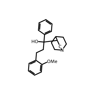 COc1ccccc1CCC(O)(c1ccccc1)C1CN2CCC1CC2